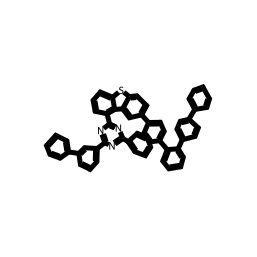 c1ccc(-c2ccc(-c3ccccc3-c3ccc(-c4ccc5sc6cccc(-c7nc(-c8ccccc8)nc(-c8cccc(-c9ccccc9)c8)n7)c6c5c4)cc3)cc2)cc1